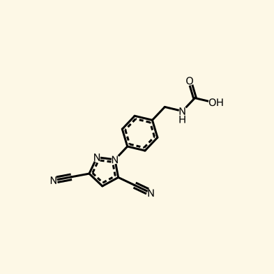 N#Cc1cc(C#N)n(-c2ccc(CNC(=O)O)cc2)n1